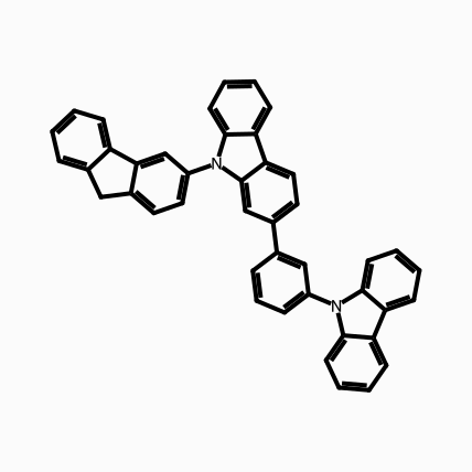 c1cc(-c2ccc3c4ccccc4n(-c4ccc5c(c4)-c4ccccc4C5)c3c2)cc(-n2c3ccccc3c3ccccc32)c1